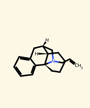 C=CCN1C[C@H]2Cc3ccccc3[C@@]13CCCC[C@@H]23